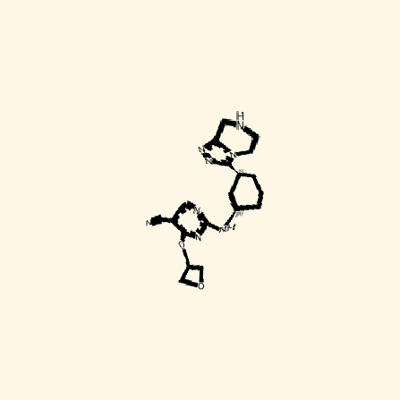 N#Cc1cnc(N[C@@H]2CCC[C@H](c3nnc4n3CCNC4)C2)nc1OC1COC1